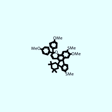 COc1ccc(C2(c3ccc(OC)cc3)C=Cc3c4c(c5cc(OC)c(SC)cc5c3O2)-c2ccc(SC)cc2C42CC(C)(C)CC(C)(C)C2)cc1